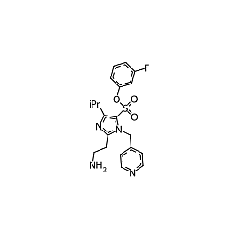 CC(C)c1nc(CCN)n(Cc2ccncc2)c1S(=O)(=O)Oc1cccc(F)c1